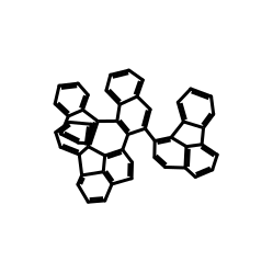 c1ccc2c(c1)-c1cccc3ccc(-c4cc5ccccc5c(-c5cccc6ccccc56)c4-c4ccc5cccc6c5c4-c4ccccc4-6)c-2c13